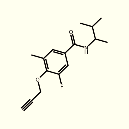 C#CCOc1c(C)cc(C(=O)NC(C)C(C)C)cc1F